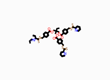 C=C/C(=N\C=C/C)C(=S)SCc1ccc(C(=O)OCC(CC)(COC(=O)c2ccc(CSC(=S)c3ccccn3)cc2)COC(=O)c2ccc(CSC(=S)c3ccccn3)cc2)cc1